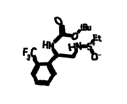 CC[S+]([O-])NCC(NC(=O)OC(C)(C)C)c1ccccc1C(F)(F)F